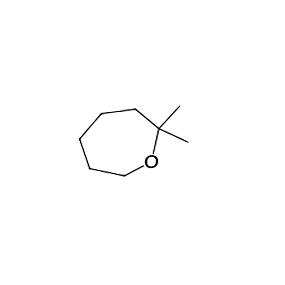 CC1(C)CCCCCO1